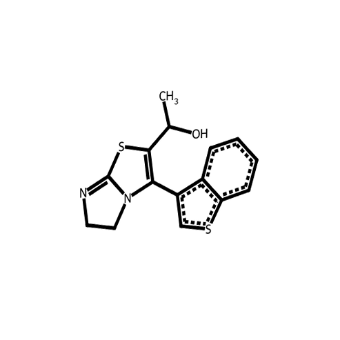 CC(O)C1=C(c2csc3ccccc23)N2CCN=C2S1